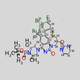 C[C@@H]1CN(c2nc(=O)n3c4c(c(-c5cc(Br)c(F)cc5F)c(C(F)(F)F)cc24)SC[C@@H](Oc2ncccn2)C3)C[C@H](C)N1C(=O)OC(C)(C)C